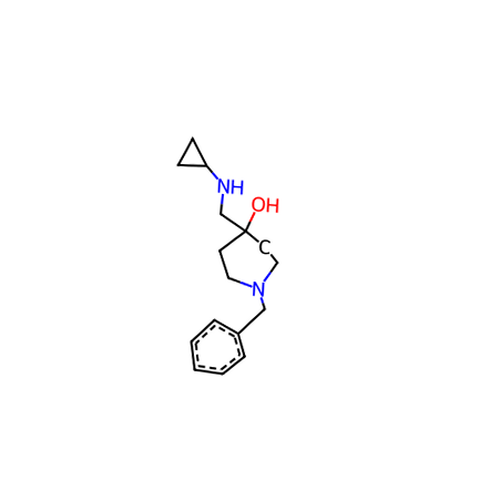 OC1(CNC2CC2)CCN(Cc2ccccc2)CC1